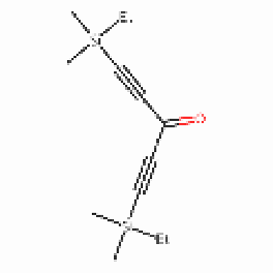 CC[Si](C)(C)C#CC(=O)C#C[Si](C)(C)CC